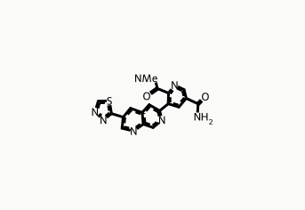 CNC(=O)c1ncc(C(N)=O)cc1-c1cc2cc(-c3nncs3)cnc2cn1